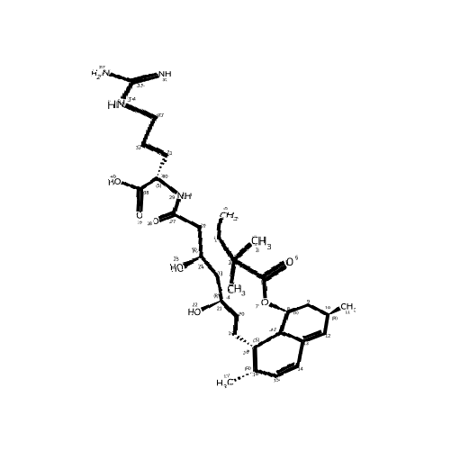 CCC(C)(C)C(=O)O[C@H]1C[C@@H](C)C=C2C=C[C@H](C)[C@H](CC[C@@H](O)C[C@@H](O)CC(=O)N[C@@H](CCCNC(=N)N)C(=O)O)C21